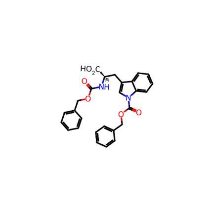 O=C(N[C@H](Cc1cn(C(=O)OCc2ccccc2)c2ccccc12)C(=O)O)OCc1ccccc1